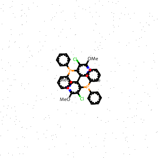 COc1nc(OC)c(-c2c(OC)nc(OC)c(Cl)c2P(c2ccccc2)c2ccccc2)c(P(c2ccccc2)c2ccccc2)c1Cl